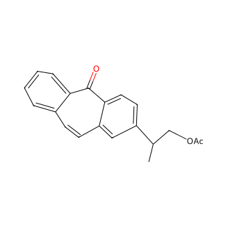 CC(=O)OCC(C)c1ccc2c(=O)c3ccccc3ccc2c1